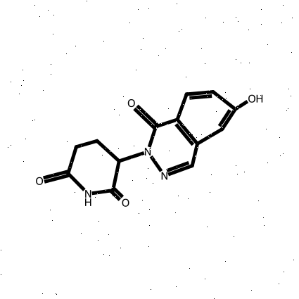 O=C1CCC(n2ncc3cc(O)ccc3c2=O)C(=O)N1